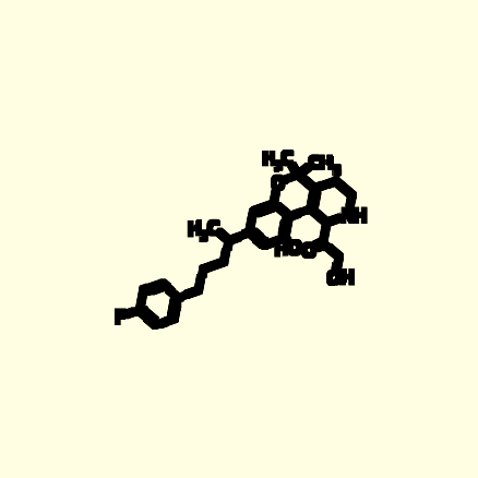 CC(CCCc1ccc(F)cc1)c1cc(O)c2c(c1)OC(C)(C)C1=C2C(C(=O)CO)NCC1